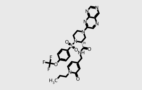 CCCn1ccc(CNC(=O)[C@H]2CN(c3cnc4cncnc4n3)CCN2S(=O)(=O)c2ccc(OC(F)(F)F)cc2)cc1=O